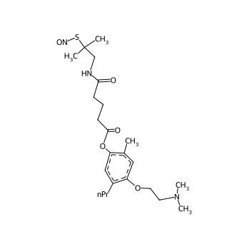 CCCc1cc(OC(=O)CCCC(=O)NCC(C)(C)SN=O)c(C)cc1OCCN(C)C